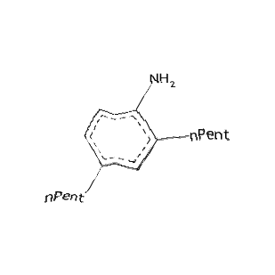 CCCCCc1ccc(N)c(CCCCC)c1